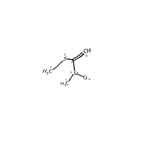 [CH]=C(SC)[S+](C)[O-]